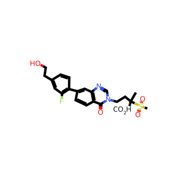 CC(CCn1cnc2cc(-c3ccc(CCO)cc3F)ccc2c1=O)(C(=O)O)S(C)(=O)=O